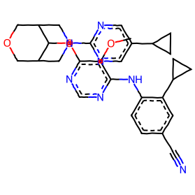 COc1c(Nc2ccc(C#N)cc2C2CC2)ncnc1OC1C2COCC1CN(c1ncc(C3CC3)cn1)C2